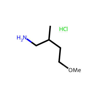 COCCC(C)CN.Cl